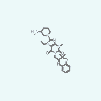 CCn1c(N2CCCC(N)C2)nc2c1c(=O)n(CC1=Nc3ccccc3OC1(C)C)c(=O)n2C